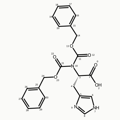 O=C(O)[C@H](Cc1c[nH]cn1)N(C(=O)OCc1ccccc1)C(=O)OCc1ccccc1